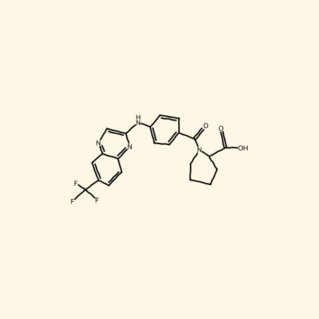 O=C(O)C1CCCCN1C(=O)c1ccc(Nc2cnc3cc(C(F)(F)F)ccc3n2)cc1